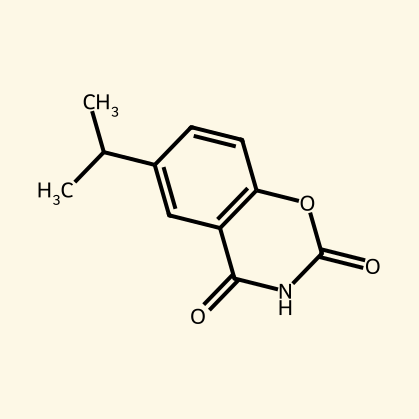 CC(C)c1ccc2oc(=O)[nH]c(=O)c2c1